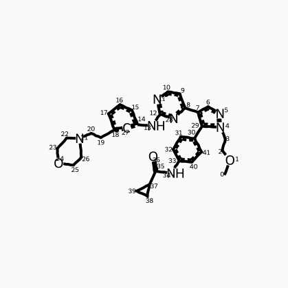 COCCn1ncc(-c2ccnc(Nc3cccc(CCN4CCOCC4)c3)n2)c1-c1ccc(NC(=O)C2CC2)cc1